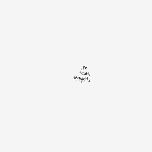 [CaH2].[Fe].[MgH2].[Mn]